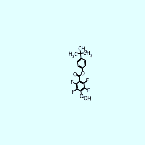 CC(C)(C)c1ccc(OC(=O)c2c(F)c(F)c(OO)c(F)c2F)cc1